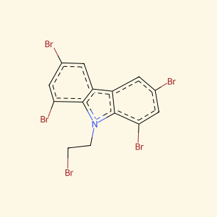 BrCCn1c2c(Br)cc(Br)cc2c2cc(Br)cc(Br)c21